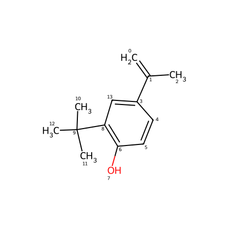 C=C(C)c1ccc(O)c(C(C)(C)C)c1